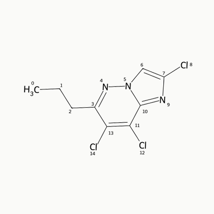 CCCc1nn2cc(Cl)nc2c(Cl)c1Cl